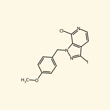 COc1ccc(Cn2nc(I)c3ccnc(Cl)c32)cc1